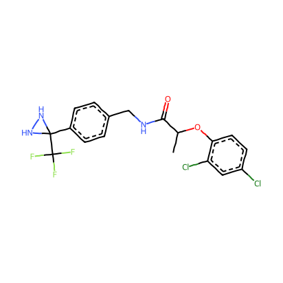 CC(Oc1ccc(Cl)cc1Cl)C(=O)NCc1ccc(C2(C(F)(F)F)NN2)cc1